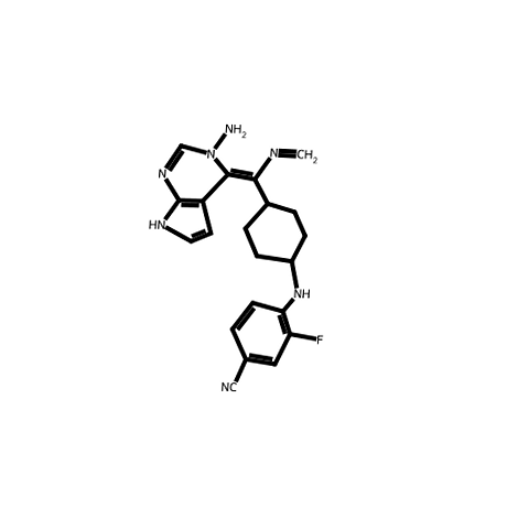 C=N/C(=C1/c2cc[nH]c2N=CN1N)C1CCC(Nc2ccc(C#N)cc2F)CC1